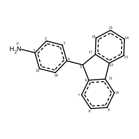 Nc1ccc([C]2c3ccccc3-c3ccccc32)cc1